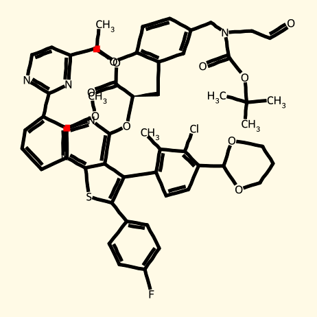 CCOC(=O)[C@@H](Cc1cc(CN(CC=O)C(=O)OC(C)(C)C)ccc1OCc1ccnc(-c2ccccc2OC)n1)Oc1ncnc2sc(-c3ccc(F)cc3)c(-c3ccc(C4OCCCO4)c(Cl)c3C)c12